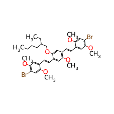 CCCCC(CC)COc1cc(C=Cc2cc(OC)c(Br)cc2OC)c(OC)cc1C=Cc1cc(OC)c(Br)cc1OC